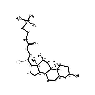 C[C@H](CCC(=O)NCC[N+](C)(C)C)[C@H]1CCC2C3CCC4C[C@H](O)CC[C@]4(C)C3C[C@H](O)[C@@]21C